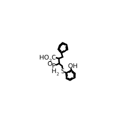 O=[PH2]C(CSc1ccccc1O)C(Cc1ccccc1)C(=O)O